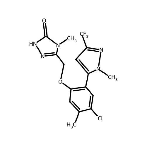 Cc1cc(OCc2n[nH]c(=O)n2C)c(-c2cc(C(F)(F)F)nn2C)cc1Cl